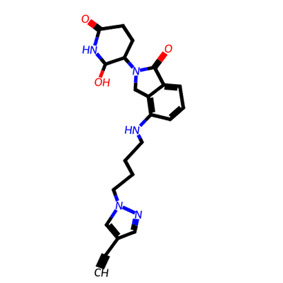 C#Cc1cnn(CCCCNc2cccc3c2CN(C2CCC(=O)NC2O)C3=O)c1